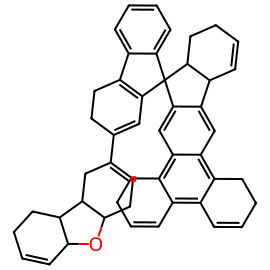 C1=Cc2c3c(c4cc5c(cc4c2CC1)C1C=CCCC1C51C2=C(CCC(C4=CCC5OC6C=CCCC6C5C4)=C2)c2ccccc21)CCC=C3